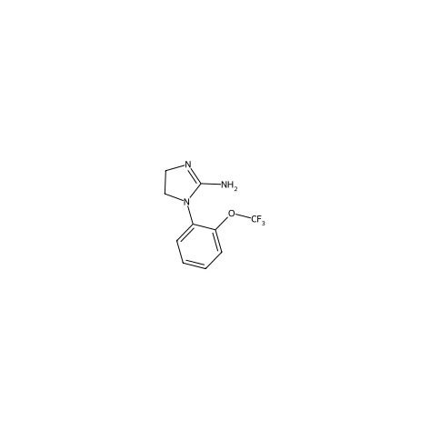 NC1=NCCN1c1ccccc1OC(F)(F)F